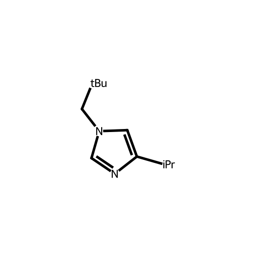 CC(C)c1cn(CC(C)(C)C)cn1